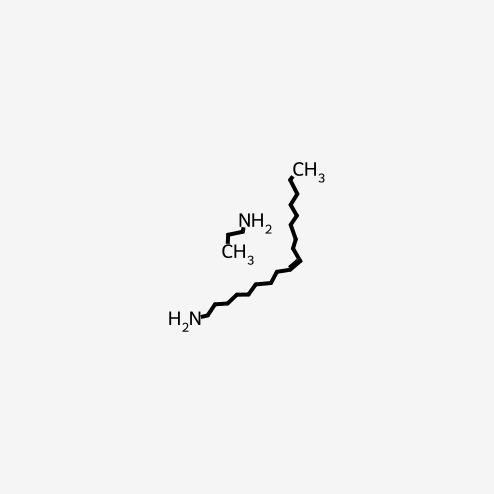 CCCCCCCC/C=C\CCCCCCCCN.CCCN